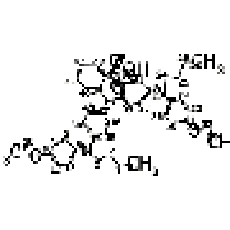 CCCCN(c1ccc(OCC)cc1)c1ccc(C(c2ccc(N(CCCC)c3ccc(OCC)cc3)cc2)c2ccccc2S(=O)(=O)O)cc1